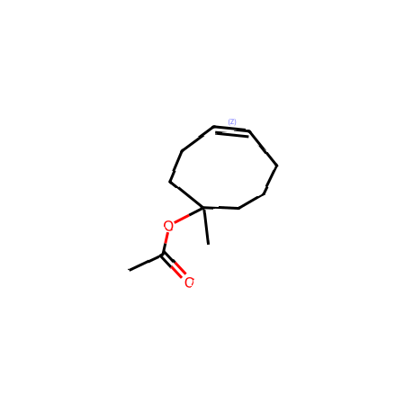 CC(=O)OC1(C)CC/C=C\CCC1